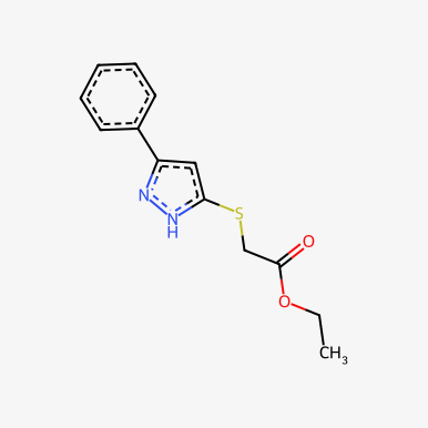 CCOC(=O)CSc1cc(-c2ccccc2)n[nH]1